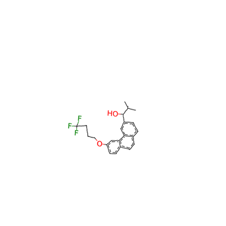 C[C](C)C(O)c1ccc2ccc3ccc(OCCCC(F)(F)F)cc3c2c1